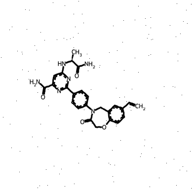 C=Cc1ccc2c(c1)CN(c1ccc(-c3nc(N[C@@H](C)C(N)=O)cc(C(N)=O)n3)cc1)C(=O)CO2